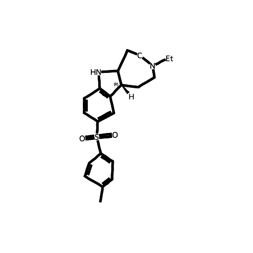 CCN1CCC2Nc3ccc(S(=O)(=O)c4ccc(C)cc4)cc3[C@H]2CC1